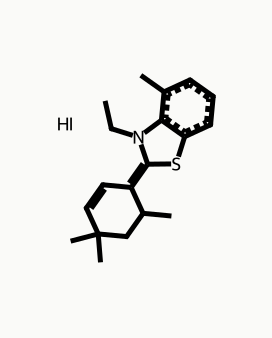 CCN1C(=C2C=CC(C)(C)CC2C)Sc2cccc(C)c21.I